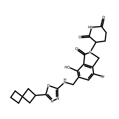 O=C1CCC(N2Cc3c(Br)cc(CNc4nnc(C5CC6(CCC6)C5)o4)c(O)c3C2=O)C(=O)N1